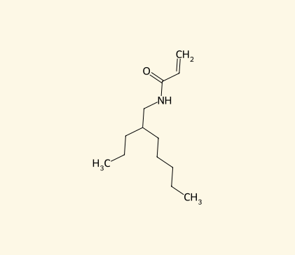 C=CC(=O)NCC(CCC)CCCCC